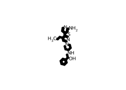 CCCc1cc(N2CCC(NC[C@@H](O)c3ccccc3)CC2)nc2sc3c(N)nccc3c12